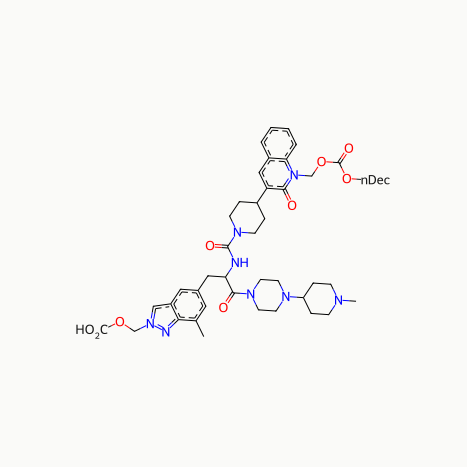 CCCCCCCCCCOC(=O)OCn1c(=O)c(C2CCN(C(=O)NC(Cc3cc(C)c4nn(COC(=O)O)cc4c3)C(=O)N3CCN(C4CCN(C)CC4)CC3)CC2)cc2ccccc21